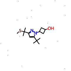 CSC(C)(C)c1cc(C(C)(C)C)n(C2CC(O)C2)n1